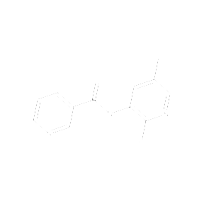 Cc1cnc(Cl)c(NC(=O)c2cccnc2)c1